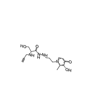 C#CCNC(CO)C(=O)NNCCCn1ccc(=O)c(O)c1C